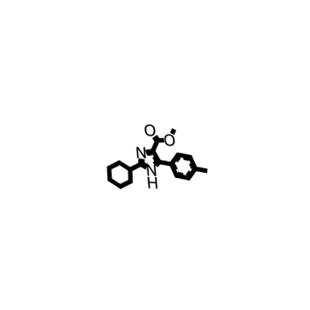 COC(=O)c1nc(C2CCCCC2)[nH]c1-c1ccc(C)cc1